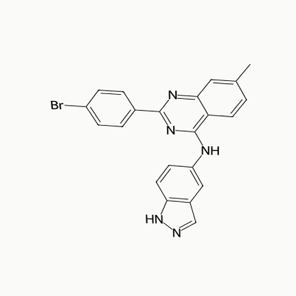 Cc1ccc2c(Nc3ccc4[nH]ncc4c3)nc(-c3ccc(Br)cc3)nc2c1